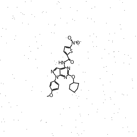 COc1ccc(-n2ncc3c(NC(=O)c4ccc([N+](=O)[O-])s4)nc(OC4CCCCC4)nc32)cc1